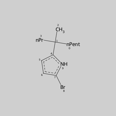 CCCCCC(C)(CCC)c1ccc(Br)[nH]1